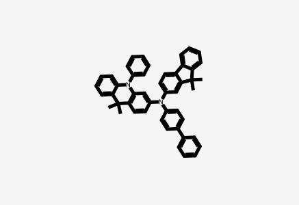 CC1(C)c2ccccc2-c2ccc(N(c3ccc(-c4ccccc4)cc3)c3ccc4c(c3)N(c3ccccc3)c3ccccc3C4(C)C)cc21